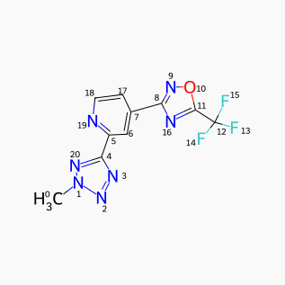 Cn1nnc(-c2cc(-c3noc(C(F)(F)F)n3)ccn2)n1